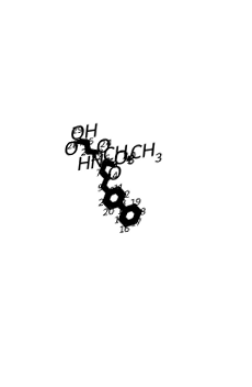 CCOC(=O)C(C)(CCCc1ccc(-c2ccccc2)cc1)NC(=O)CCC(=O)O